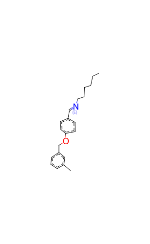 CCCCCC/N=C/c1ccc(OCc2cccc(C)c2)cc1